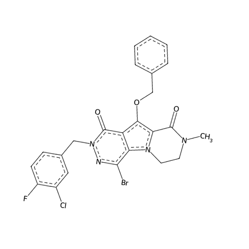 CN1CCn2c(c(OCc3ccccc3)c3c(=O)n(Cc4ccc(F)c(Cl)c4)nc(Br)c32)C1=O